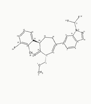 COC[C@H]1C=C(c2ccc3cnn(C(F)F)c3c2)CC[C@H](c2cccc(F)c2C)C1=O